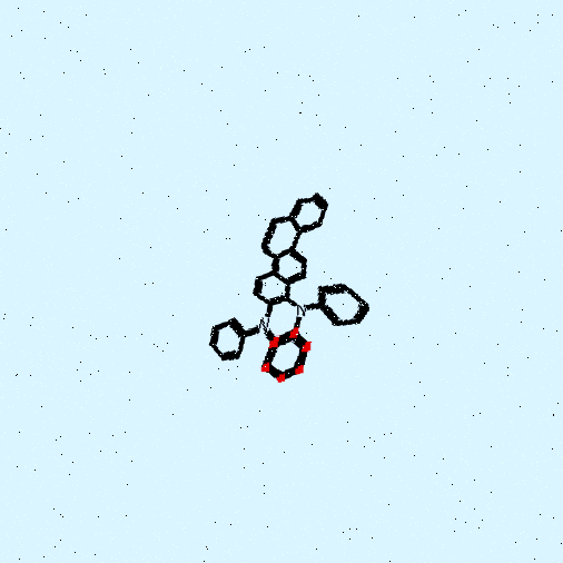 c1ccc(N(c2ccccc2)c2ccc3c(ccc4c5ccccc5ccc34)c2N(c2ccccc2)c2ccccc2)cc1